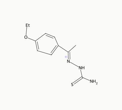 CCOc1ccc(/C(C)=N/NC(N)=S)cc1